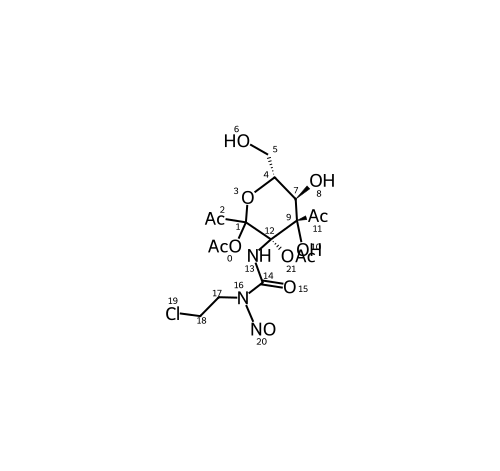 CC(=O)OC1(C(C)=O)O[C@H](CO)[C@@H](O)[C@@](O)(C(C)=O)[C@]1(NC(=O)N(CCCl)N=O)OC(C)=O